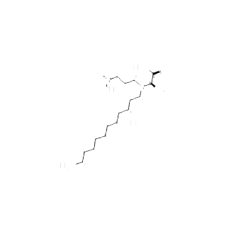 C=C(C)C(=O)N(CCCCCCCCCCCC)CCCN(C)C.Cl